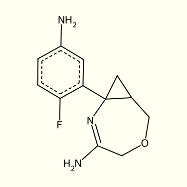 NC1=NC2(c3cc(N)ccc3F)CC2COC1